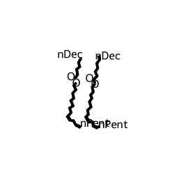 CCCCC/C=C\C/C=C\CCCCCCCCOC(=O)CCCCCCCCCCCCCCC.CCCCC/C=C\C/C=C\CCCCCCCCOC(=O)CCCCCCCCCCCCCCC